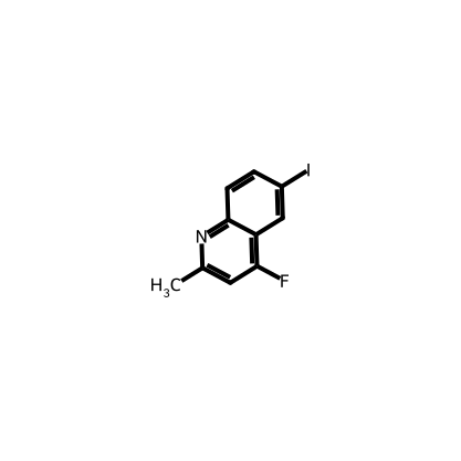 Cc1cc(F)c2cc(I)ccc2n1